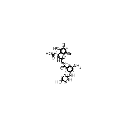 Nc1cc(NC2=NCC(O)CN2)cc(C(=O)NCC(=O)N[C@H](CC(=O)O)c2cc(Br)cc(Cl)c2O)c1